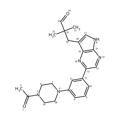 CC(=O)N1CCN(c2cccc(-c3cnc4[nH]cc(CC(C)(C)C=O)c4n3)c2)CC1